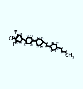 CCCCC1CCC(CCC2CCC(c3ccc(-c4cc(F)c(Cl)c(F)c4)cc3)CC2)CC1